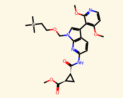 COC(=O)[C@@H]1C[C@H]1C(=O)Nc1ccc2c(-c3c(OC)ccnc3OC)cn(COCC[Si](C)(C)C)c2n1